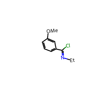 CC/N=C(\Cl)c1cccc(OC)c1